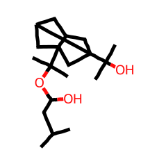 CC(C)CC(O)OC(C)(C)C12CC3CC1CC3(C(C)(C)O)C2